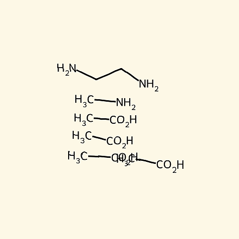 CC(=O)O.CC(=O)O.CC(=O)O.CC(=O)O.CN.NCCN